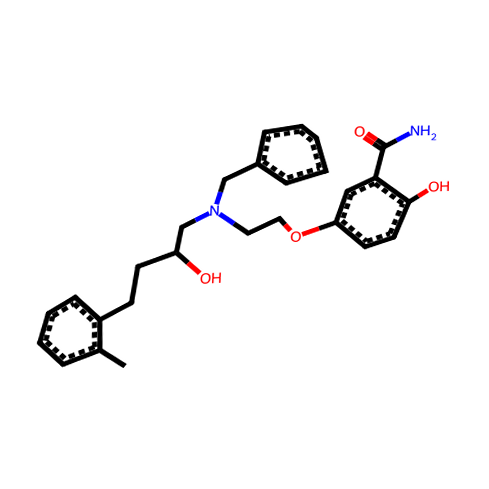 Cc1ccccc1CCC(O)CN(CCOc1ccc(O)c(C(N)=O)c1)Cc1ccccc1